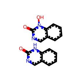 O=c1ncc2ccccc2[nH]1.O=c1ncc2ccccc2n1O